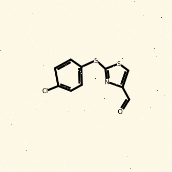 O=Cc1csc(Sc2ccc(Cl)cc2)n1